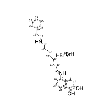 Br.Br.Oc1ccc2c(NCCCCCCCCNCCc3ccccc3)cccc2c1O